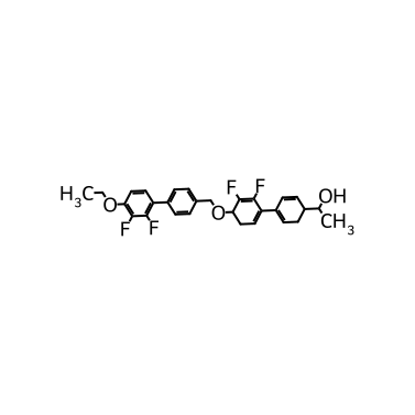 CCOc1ccc(-c2ccc(COC3CC=C(C4=CCC(C(C)O)C=C4)C(F)=C3F)cc2)c(F)c1F